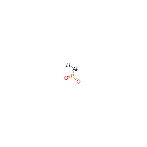 [Li][Al][P](=O)=O